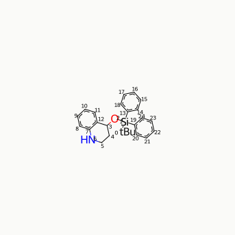 CC(C)(C)[Si](OC1CCNc2ccccc21)(c1ccccc1)c1ccccc1